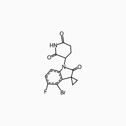 O=C1CCC(N2C(=O)C3(CC3)c3c2ccc(F)c3Br)C(=O)N1